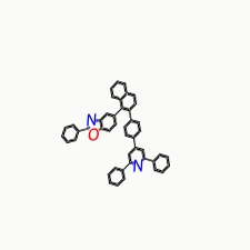 c1ccc(-c2cc(-c3ccc(-c4ccc5ccccc5c4-c4ccc5oc(-c6ccccc6)nc5c4)cc3)cc(-c3ccccc3)n2)cc1